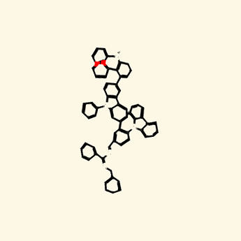 CN(C1=C(c2ccccc2)C(c2ccc3c(c2)c2ccc(-c4cc(/C=N/C(=N\CC5=CCCC=C5)c5ccccc5)ccc4-n4c5ccccc5c5ccccc54)cc2n3-c2ccccc2)=CCC1)c1ccccc1